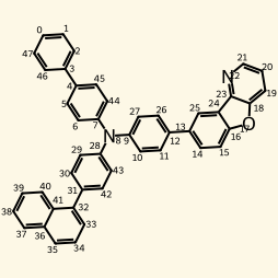 c1ccc(-c2ccc(N(c3ccc(-c4ccc5oc6cccnc6c5c4)cc3)c3ccc(-c4cccc5ccccc45)cc3)cc2)cc1